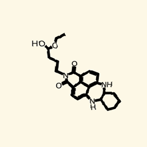 CCOC(O)CCCN1C(=O)c2ccc3c4c(ccc(c24)C1=O)NC1CCCCC1N3